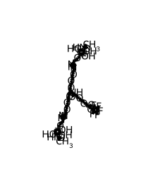 CC(=O)N[C@@H]1[C@@H](O)[C@@H](O)[C@@H](COCCc2cn(CCOCCOCCOCC(COCCOCCOCCn3cc(CCOC[C@H]4C[C@@H](O)[C@H](NC(C)=O)[C@@H](O)[C@H]4O)nn3)NC(=O)CCOCCOCCC(=O)Oc3c(F)c(F)c(F)c(F)c3F)nn2)C[C@H]1O